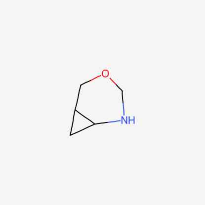 C1NC2CC2CO1